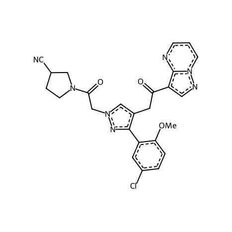 COc1ccc(Cl)cc1-c1nn(CC(=O)N2CCC(C#N)C2)cc1CC(=O)c1cnn2cccnc12